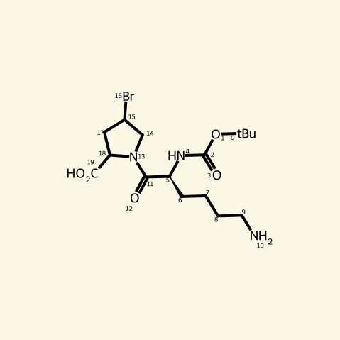 CC(C)(C)OC(=O)N[C@@H](CCCCN)C(=O)N1CC(Br)CC1C(=O)O